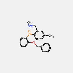 C/N=C/c1cc(C)ccc1Pc1ccccc1OCc1ccccc1